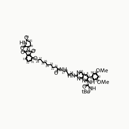 COc1cc(OC)cc(-c2cc3cnc(NCCCCNC(=O)CCCCCCCCOc4cccc5c4C(=O)N(C4CCC(=O)NC4=O)C5=O)nc3nc2NC(=O)NC(C)(C)C)c1